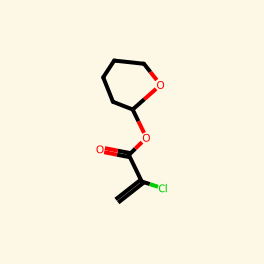 C=C(Cl)C(=O)OC1CCCCO1